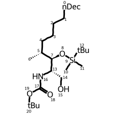 CCCCCCCCCCCCCC[C@@H](C)[C@@H](O[Si](C)(C)C(C)(C)C)[C@H](CO)NC(=O)OC(C)(C)C